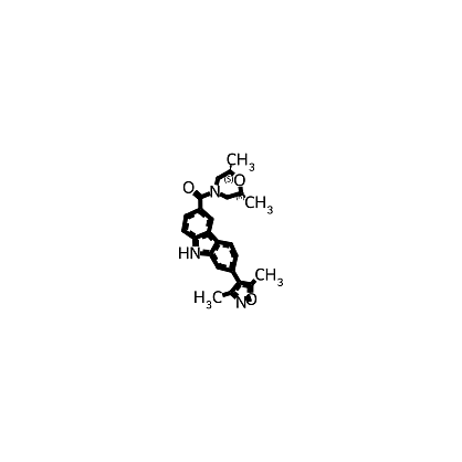 Cc1noc(C)c1-c1ccc2c(c1)[nH]c1ccc(C(=O)N3C[C@@H](C)O[C@@H](C)C3)cc12